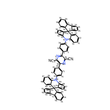 N#Cc1nc(-c2ccc(N3c4ccccc4C4(c5ccccc5-c5ccccc54)c4ccccc43)cc2)c(C#N)nc1-c1ccc(N2c3ccccc3C3(c4ccccc4-c4ccccc43)c3ccccc32)cc1